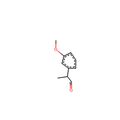 COc1cccc(C(C)C=O)c1